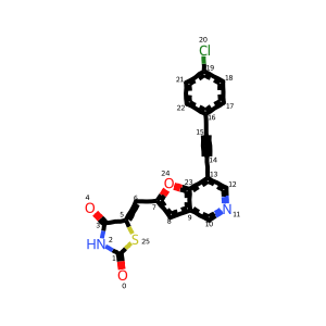 O=C1NC(=O)/C(=C/c2cc3cncc(C#Cc4ccc(Cl)cc4)c3o2)S1